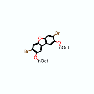 CCCCCCCCOc1cc2c(cc1Br)oc1cc(Br)c(OCCCCCCCC)cc12